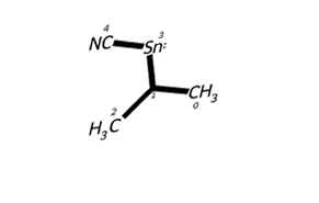 C[CH](C)[Sn][C]#N